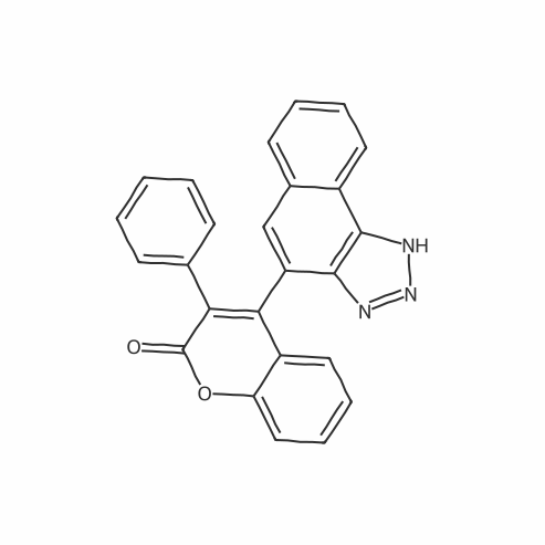 O=c1oc2ccccc2c(-c2cc3ccccc3c3[nH]nnc23)c1-c1ccccc1